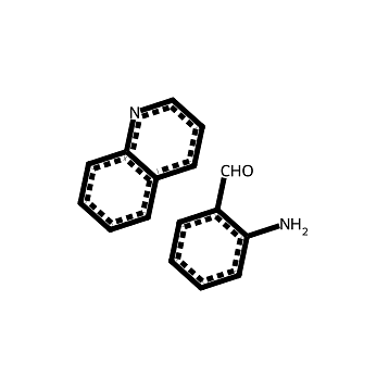 Nc1ccccc1C=O.c1ccc2ncccc2c1